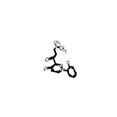 CN(C)C=CC(=O)c1nn(-c2ccccc2Cl)ccc1=O